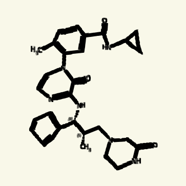 Cc1ccc(C(=O)NC2CC2)cc1-n1ccnc(N[C@@H](c2ccccc2)[C@@H](C)CN2CCNC(=O)C2)c1=O